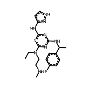 CCN(CCNC)c1nc(Nc2cc[nH]n2)nc(NC(C)c2ccc(F)cc2)n1